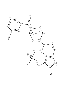 Cn1c2c([nH]c1=O)C=CC(N1CC3CCC1CN3C(=O)c1cccc(F)c1)N2CC(C)(C)C